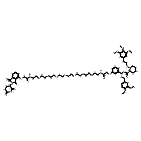 COc1ccc(CC[C@@H](OC(=O)[C@@H]2CCCCN2OCCc2cc(OC)c(OC)c(OC)c2)c2cccc(OCC(=O)NCCOCCOCCOCCOCCOCCOCCOCCNC(=O)COc3cccc4c3C(=O)N(C3CCC(=O)NC3=O)C4=O)c2)cc1OC